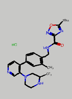 Cc1cc(-c2ccncc2N2CCNC(C(F)(F)F)C2)ccc1CNC(=O)c1noc(C(C)(C)C)n1.Cl